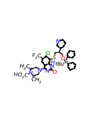 C[C@@H]1CN(c2nc(=O)[nH]c3c(SCC(CO[Si](c4ccccc4)(c4ccccc4)C(C)(C)C)c4cccnc4)c(Cl)c(C(F)(F)F)cc23)C[C@H](C)N1C(=O)O